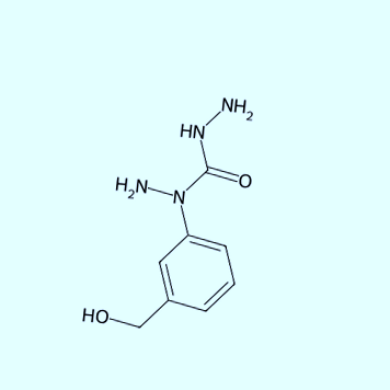 NNC(=O)N(N)c1cccc(CO)c1